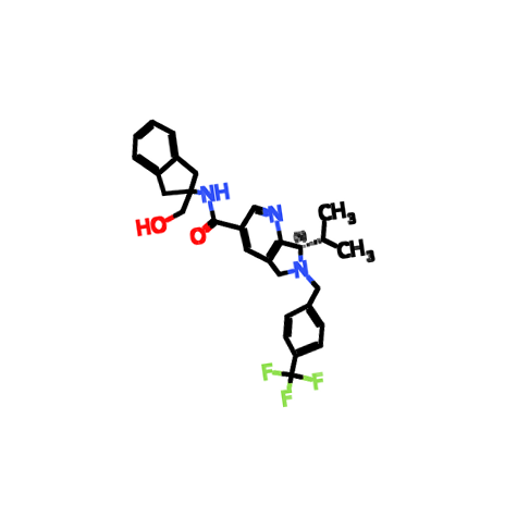 CC(C)[C@H]1c2ncc(C(=O)NC3(CO)Cc4ccccc4C3)cc2CN1Cc1ccc(C(F)(F)F)cc1